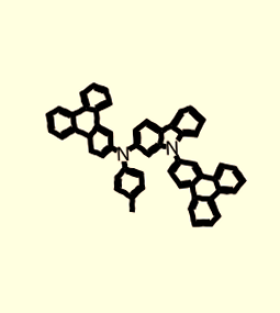 Cc1ccc(N(C2=CCC3C(=C2)c2ccccc2-c2ccccc23)c2ccc3c4ccccc4n(-c4ccc5c6ccccc6c6ccccc6c5c4)c3c2)cc1